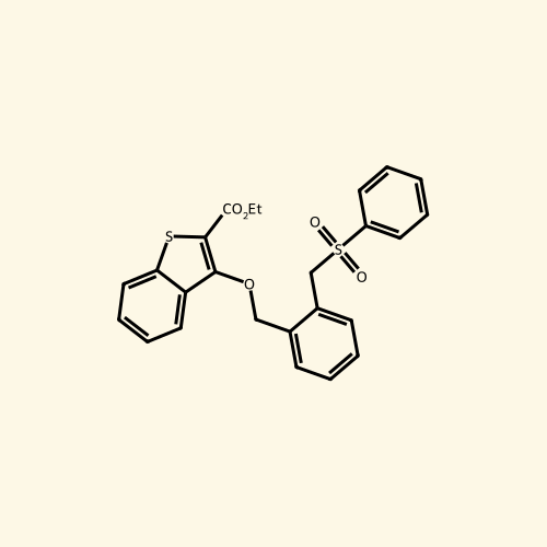 CCOC(=O)c1sc2ccccc2c1OCc1ccccc1CS(=O)(=O)c1ccccc1